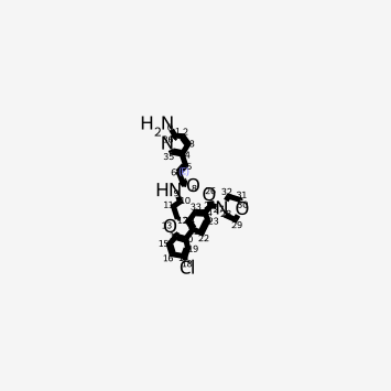 Nc1ccc(/C=C/C(=O)NCCCOc2ccc(Cl)cc2-c2ccc(C(=O)N3CCOCC3)cc2)cn1